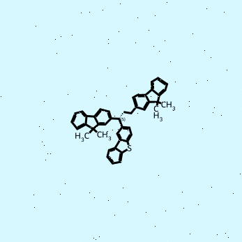 CC1(C)c2ccccc2-c2ccc(CC[C@@H](c3ccc4c(c3)C(C)(C)c3ccccc3-4)c3ccc4sc5ccccc5c4c3)cc21